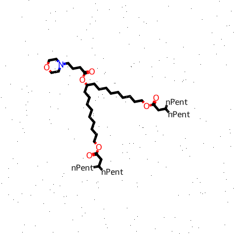 CCCCCC(CCCCC)CC(=O)OCCCCCCCCCC(CCCCCCCCCOC(=O)CC(CCCCC)CCCCC)OC(=O)CCCN1CCOCC1